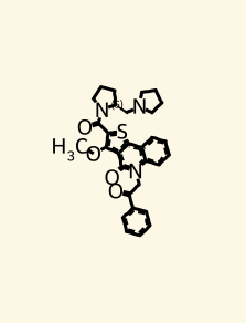 COc1c(C(=O)N2CCC[C@H]2CN2CCCC2)sc2c1c(=O)n(CC(=O)c1ccccc1)c1ccccc21